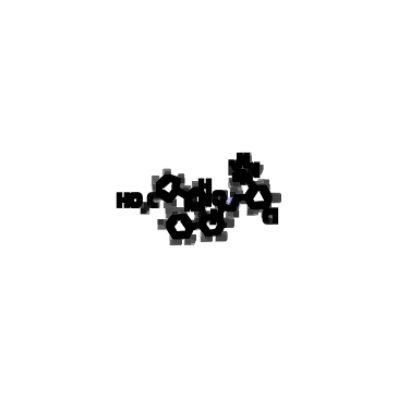 O=C(O)c1cccc(-c2c[nH]c([C@@H]3[C@H](c4ccccc4)CCCN3C(=O)/C=C/c3cc(Cl)ccc3-n3cnnn3)n2)c1